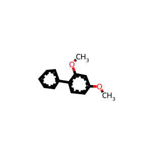 COc1ccc(-c2ccccc2)c(OC)c1